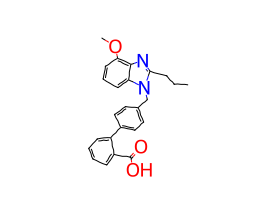 CCCc1nc2c(OC)cccc2n1Cc1ccc(-c2ccccc2C(=O)O)cc1